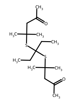 CCC(CC)(SC(C)(C)CC(C)=O)SC(C)(C)CC(C)=O